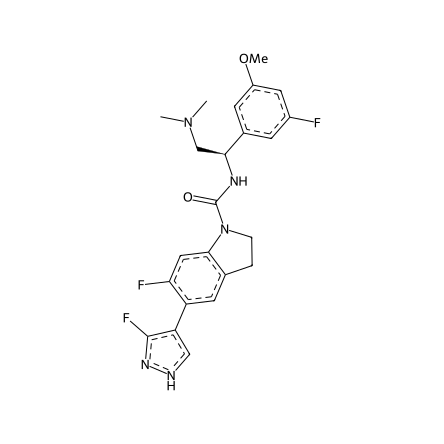 COc1cc(F)cc([C@H](CN(C)C)NC(=O)N2CCc3cc(-c4c[nH]nc4F)c(F)cc32)c1